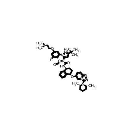 C[C@@H]1CCC[C@H](C)N1c1nnc2ccc(O[C@@H]3CC[C@H](NC(=O)N(OC=O)c4cc(C(C)(C)C)nn4-c4cc(F)cc(OCCN(C)C)c4)c4ccccc43)cn12